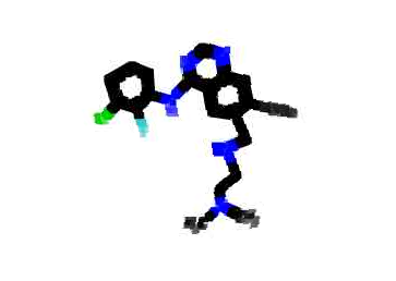 COc1cc2ncnc(Nc3cccc(Cl)c3F)c2cc1CNCCN(C)C